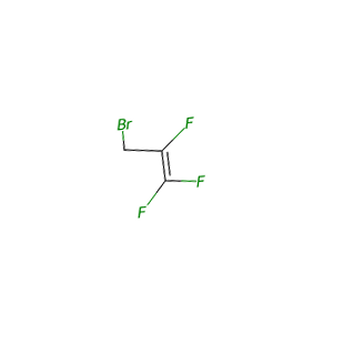 FC(F)=C(F)CBr